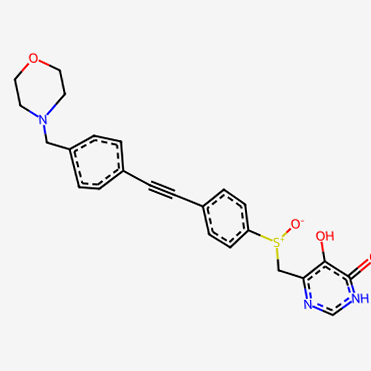 O=c1[nH]cnc(C[S+]([O-])c2ccc(C#Cc3ccc(CN4CCOCC4)cc3)cc2)c1O